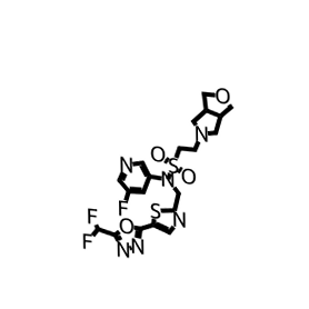 O=S(=O)(CCN1CC2COCC2C1)N(Cc1ncc(-c2nnc(C(F)F)o2)s1)c1cncc(F)c1